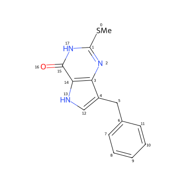 CSc1nc2c(Cc3ccccc3)c[nH]c2c(=O)[nH]1